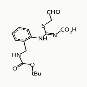 CC(C)(C)OC(=O)NCc1ccccc1NC(=NC(=O)O)SCC=O